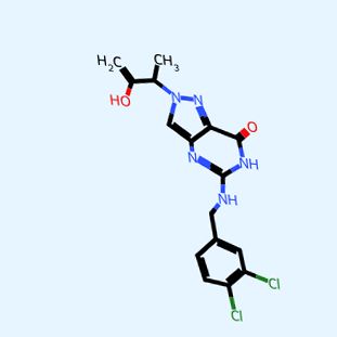 C=C(O)C(C)n1cc2nc(NCc3ccc(Cl)c(Cl)c3)[nH]c(=O)c2n1